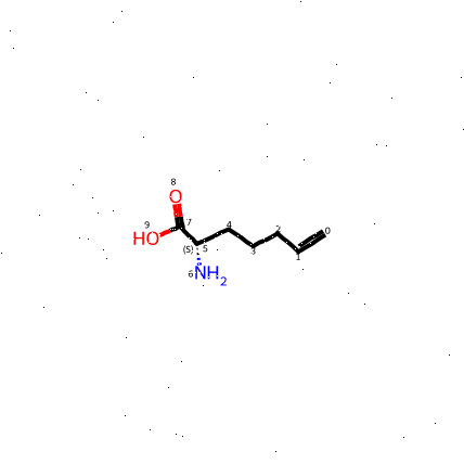 C=CCCC[C@H](N)C(=O)O